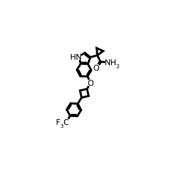 NC(=O)C1(c2c[nH]c3ccc(OC4CC(c5ccc(C(F)(F)F)cc5)C4)cc23)CC1